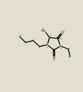 CCCCN1C(=O)N(CC)C(=O)C1S